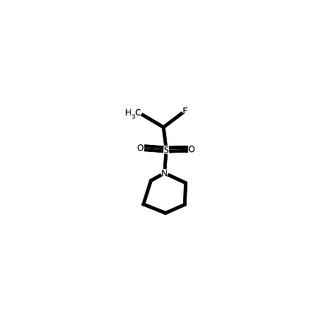 CC(F)S(=O)(=O)N1CCCCC1